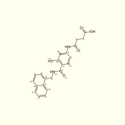 O=C(O)CCC(=O)Nc1cnc(C(=O)NCc2cccc3ccccc23)c(O)n1